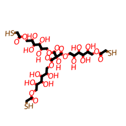 O=C(CS)OCC(O)C(O)C(O)C(O)COC(=O)C(O)(C(=O)OCC(O)C(O)C(O)C(O)COC(=O)CS)C(=O)OCC(O)C(O)C(O)C(O)COC(=O)CS